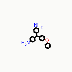 Nc1ccc(C(c2ccc(N)cc2)c2ccc(Oc3ccccc3)cc2)cc1